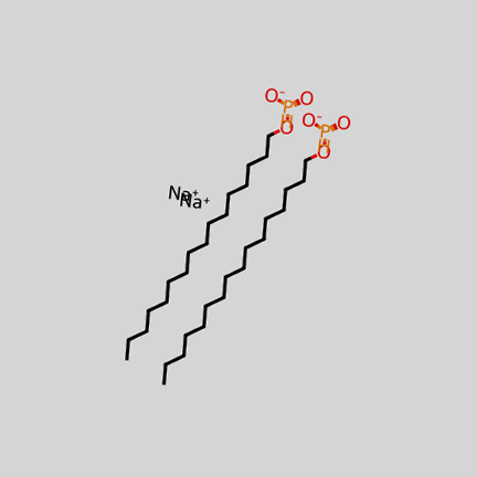 CCCCCCCCCCCCCCCCO[PH](=O)[O-].CCCCCCCCCCCCCCCCO[PH](=O)[O-].[Na+].[Na+]